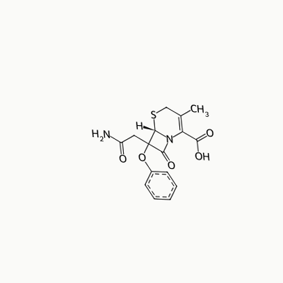 CC1=C(C(=O)O)N2C(=O)C(CC(N)=O)(Oc3ccccc3)[C@@H]2SC1